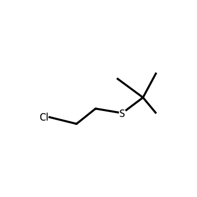 CC(C)(C)SCCCl